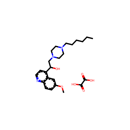 CCCCCCN1CCN(CC(O)c2ccnc3ccc(OC)cc23)CC1.O=C(O)C(=O)O